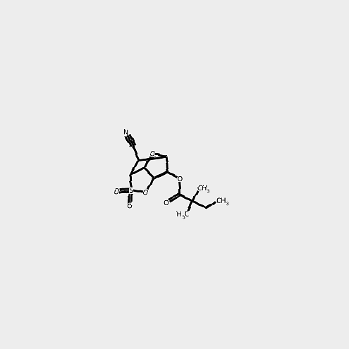 CCC(C)(C)C(=O)OC1C2OC3C1OS(=O)(=O)C3C2C#N